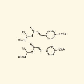 CCCCCC(CC)OC(=O)C=Cc1ccc(OC)cc1.CCCCCC(CC)OC(=O)C=Cc1ccc(OC)cc1